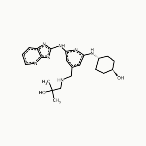 CC(C)(O)CNCc1cc(Nc2nc3cccnc3s2)nc(N[C@H]2CC[C@H](O)CC2)c1